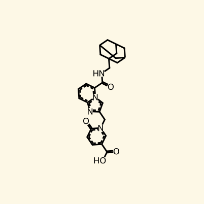 O=C(O)c1ccc(=O)n(Cc2cn3c(C(=O)NCC45CC6CC(CC(C6)C4)C5)cccc3n2)c1